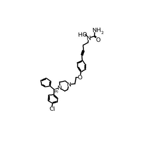 NC(=O)N(O)CCC#Cc1ccc(OCCN2CCN([C@H](c3ccccc3)c3ccc(Cl)cc3)CC2)cc1